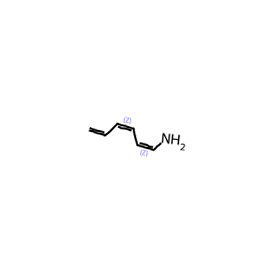 C=C/C=C\C=C/N